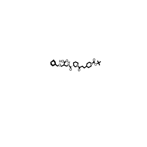 CC(C)(C)OC(=O)N1CCC(CCC(=O)N2CCC[C@@H](C(=O)NCC(COCc3ccccc3)C(=O)O)C2)CC1